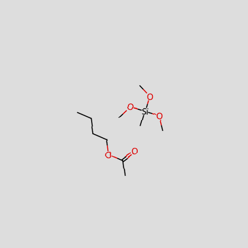 CCCCOC(C)=O.CO[Si](C)(OC)OC